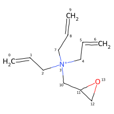 C=CC[N+](CC=C)(CC=C)CC1CO1